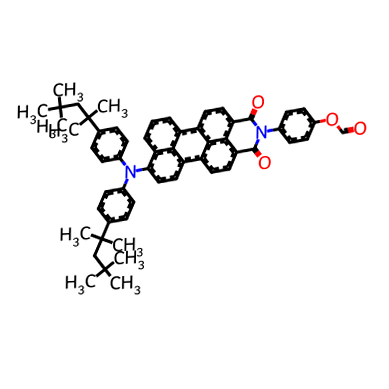 CC(C)(C)CC(C)(C)c1ccc(N(c2ccc(C(C)(C)CC(C)(C)C)cc2)c2ccc3c4ccc5c6c(ccc(c7cccc2c73)c64)C(=O)N(c2ccc(OC=O)cc2)C5=O)cc1